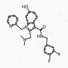 CN(C)Cc1c(C(=O)NCc2ccc(F)c(F)c2)c2ccc(O)cc2n1Cc1ccccn1